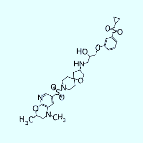 C[C@@H]1CN(C)c2cc(S(=O)(=O)N3CCC4(CC3)C[C@@H](NCC(O)COc3cccc(S(=O)(=O)C5CC5)c3)CO4)cnc2O1